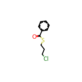 O=C(SCCCCl)c1ccccc1